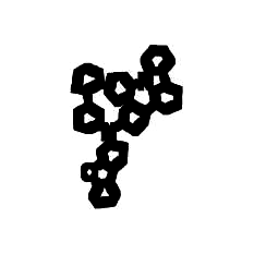 c1ccc(-c2cccc(N(c3ccc(-c4cccc5c6ccccc6n(-c6ccccc6)c45)cc3)c3ccc4c(c3)oc3ccccc34)c2)cc1